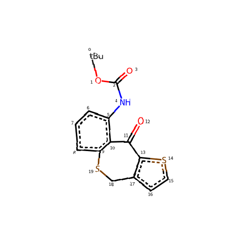 CC(C)(C)OC(=O)Nc1cccc2c1C(=O)c1sccc1CS2